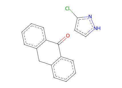 Clc1cc[nH]n1.O=C1c2ccccc2Cc2ccccc21